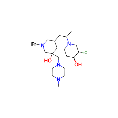 CC(C)N1CC(CC(C)N2CC[C@H](O)[C@@H](F)C2)CC(O)(CN2CCN(C)CC2)C1